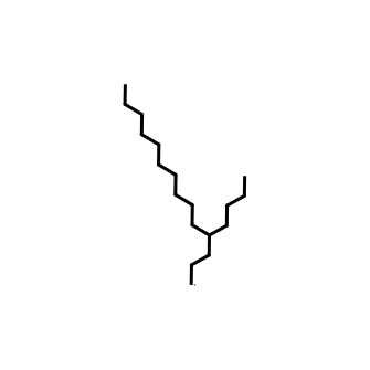 [CH2]CCC(CCCC)CCCCCCCCCC